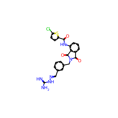 N=C(N)NN=Cc1cccc(CN2C(=O)c3cccc(NC(=O)c4ccc(Cl)s4)c3C2=O)c1